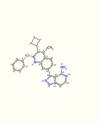 Cc1c(C2CCC2)c(Oc2ccccc2)nc2cc(-c3ncn4ccnc(N)c34)ccc12